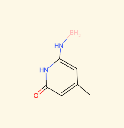 BNc1cc(C)cc(=O)[nH]1